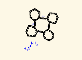 NN.c1ccc2/c(c1)=c1/cccc/c1=c1\cccc\c1=c1/cccc/c1=2